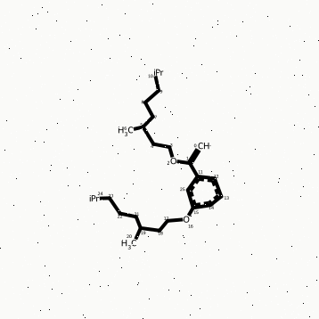 [CH]=C(OCCC(C)CCCC(C)C)c1cc[c]c(OCCC(C)CCCC(C)C)c1